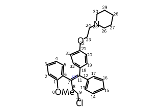 COc1ccccc1/C(CCCl)=C(/c1ccccc1)c1ccc(OCCN2CCCCC2)cc1